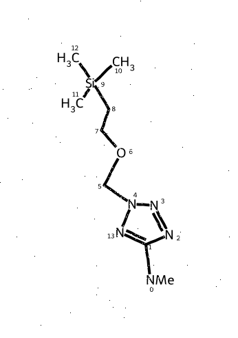 CNc1nnn(COCC[Si](C)(C)C)n1